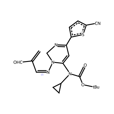 C=C(C=O)/C=N\N1CN=C(c2ccc(C#N)s2)C=C1N(C(=O)OC(C)(C)C)C1CC1